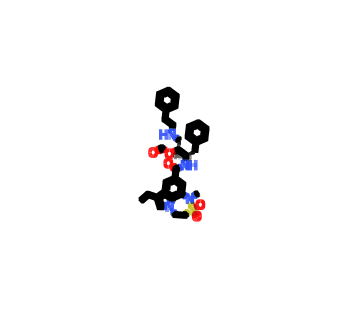 CCc1cn2c3c(cc(C(=O)N[C@@H](Cc4ccccc4)[C@@H](CNCCc4ccccc4)OC=O)cc13)N(C)S(=O)(=O)CC2